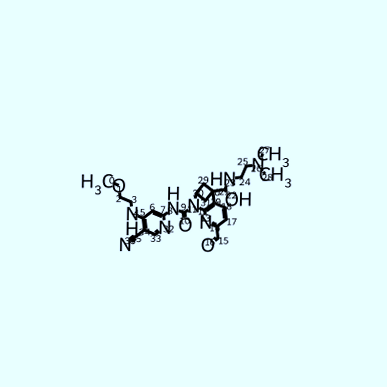 COCCNc1cc(NC(=O)N2c3nc(C=O)ccc3C3(C(O)NCCN(C)C)CC2C3)ncc1C#N